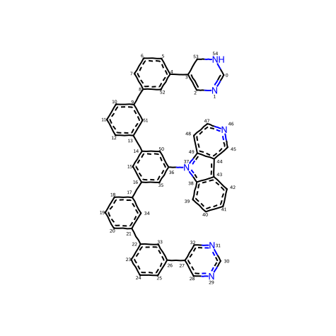 C1=NC=C(c2cccc(-c3cccc(-c4cc(-c5cccc(-c6cccc(-c7cncnc7)c6)c5)cc(-n5c6ccccc6c6cnccc65)c4)c3)c2)CN1